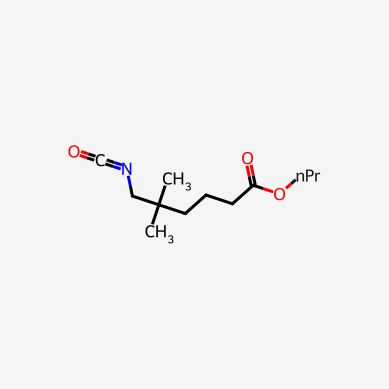 CCCOC(=O)CCCC(C)(C)CN=C=O